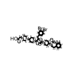 O=C(O)CN1CCN(C2CCN(C(=O)C(Cc3ccc(Br)c(Br)c3)OC(=O)N3CCC(N4CCc5ccccc5NC4=O)CC3)CC2)CC1